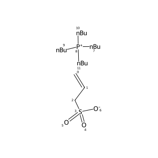 C=CCS(=O)(=O)[O-].CCCC[P+](CCCC)(CCCC)CCCC